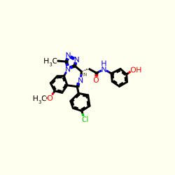 COc1ccc2c(c1)C(c1ccc(Cl)cc1)=N[C@@H](CC(=O)Nc1cccc(O)c1)c1nnc(C)n1-2